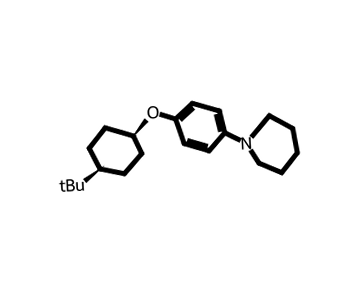 CC(C)(C)[C@H]1CC[C@@H](Oc2ccc(N3CCCCC3)cc2)CC1